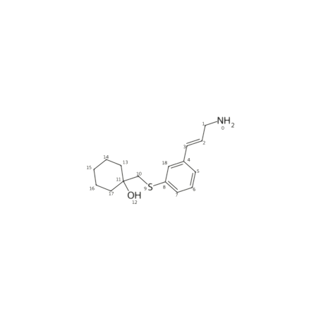 NC/C=C/c1cccc(SCC2(O)CCCCC2)c1